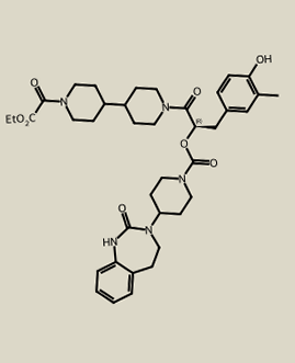 CCOC(=O)C(=O)N1CCC(C2CCN(C(=O)[C@@H](Cc3ccc(O)c(C)c3)OC(=O)N3CCC(N4CCc5ccccc5NC4=O)CC3)CC2)CC1